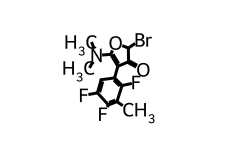 Cc1c(F)c(F)cc(C2=C(N(C)C)OC(Br)C2=O)c1F